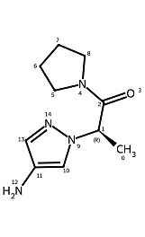 C[C@H](C(=O)N1CCCC1)n1cc(N)cn1